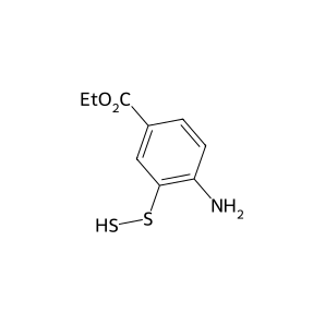 CCOC(=O)c1ccc(N)c(SS)c1